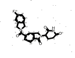 O=C1CCC(N2Cc3cc(C(=O)N4Cc5ccc(F)cc5C4)ccc3C2=O)C(=O)N1